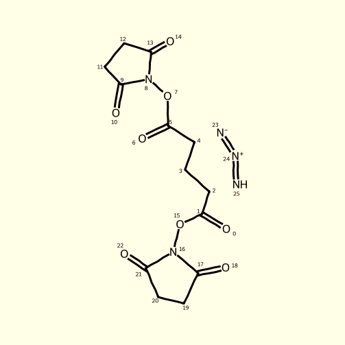 O=C(CCCC(=O)ON1C(=O)CCC1=O)ON1C(=O)CCC1=O.[N-]=[N+]=N